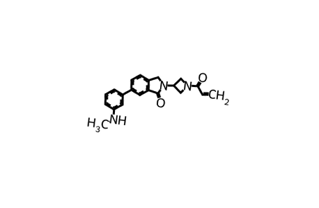 C=CC(=O)N1CC(N2Cc3ccc(-c4cccc(NC)c4)cc3C2=O)C1